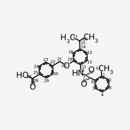 Cc1ccccc1S(=O)(=O)Nc1ccc(C(C)C)cc1OCc1ccc(C(=O)O)cc1